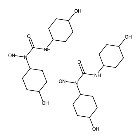 O=NN(C(=O)NC1CCC(O)CC1)C1CCC(O)CC1.O=NN(C(=O)NC1CCC(O)CC1)C1CCC(O)CC1